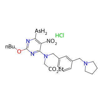 CCCCOc1nc([AsH2])c([N+](=O)[O-])c(N(CC(=O)OCC)Cc2cccc(CN3CCCC3)c2)n1.Cl